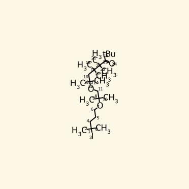 CC(C)(I)CCCOC(C)(C)COC(C)(C)CC(C)(C)C(C)(C)C(=O)C(C)(C)C